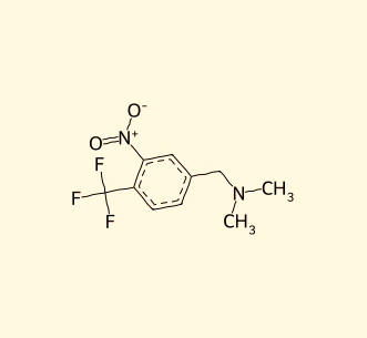 CN(C)Cc1ccc(C(F)(F)F)c([N+](=O)[O-])c1